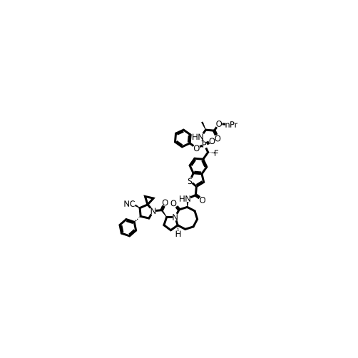 CCCOC(=O)[C@H](C)NP(=O)(Oc1ccccc1)[C@H](F)c1ccc2sc(C(=O)N[C@H]3CCCC[C@H]4CC[C@@H](C(=O)N5C[C@H](c6ccccc6)[C@@H](C#N)C56CC6)N4C3=O)cc2c1